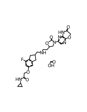 O=C1COc2ncc(N3CC(CCNCC4Cc5cc(OCC(=O)NC6CC6)cc(F)c5C4)OC3=O)nc2N1.O=CO